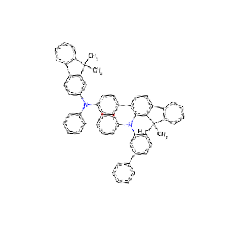 CC1(C)c2ccccc2-c2ccc(N(c3ccccc3)c3ccc(-c4ccc5c(c4N(c4ccccc4)c4cccc(-c6ccccc6)c4)C(C)(C)c4ccccc4-5)cc3)cc21